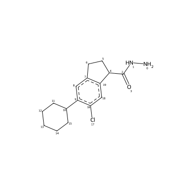 NNC(=O)C1CCc2cc(C3CCCCC3)c(Cl)cc21